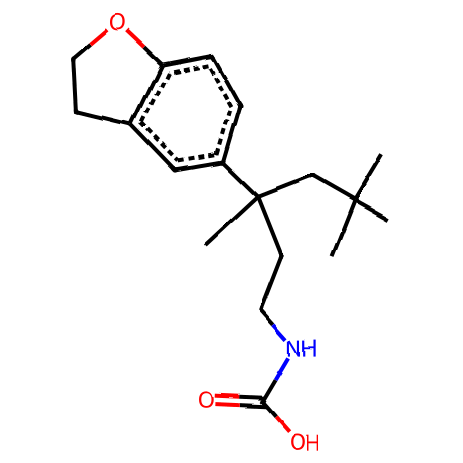 CC(C)(C)CC(C)(CCNC(=O)O)c1ccc2c(c1)CCO2